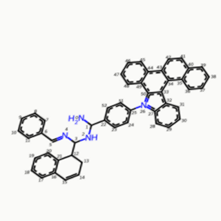 NC(NC(/N=C/c1ccccc1)C1CC=Cc2ccccc21)c1ccc(-n2c3ccccc3c3c4c5ccccc5ccc4c4ccccc4c32)cc1